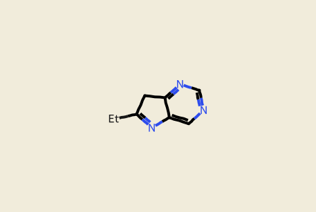 CCC1=Nc2cncnc2C1